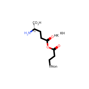 CCCCCCCCCCCC(=O)OC(=O)CC[C@H](N)C(=O)O.[KH].[KH]